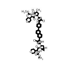 COC(=O)N[C@H](C(=O)N1C(C)[C@H](C)C[C@H]1c1nc(Cl)c(-c2ccc(-c3ccc4cc(-c5[nH]c([C@@H]6C[C@H]7C[C@H]7N6C(=O)[C@@H](NC(=O)OC)C6CCOCC6)nc5Cl)ccc4c3)cc2)[nH]1)C1CCOCC1